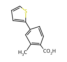 Cc1cc(-c2cccs2)ccc1C(=O)O